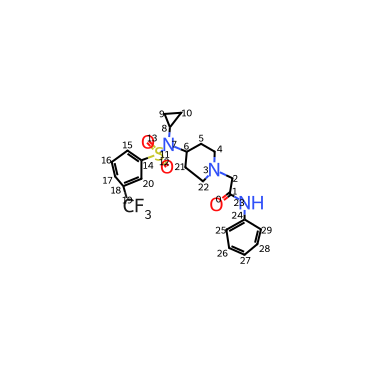 O=C(CN1CCC(N(C2CC2)S(=O)(=O)c2cccc(C(F)(F)F)c2)CC1)Nc1ccccc1